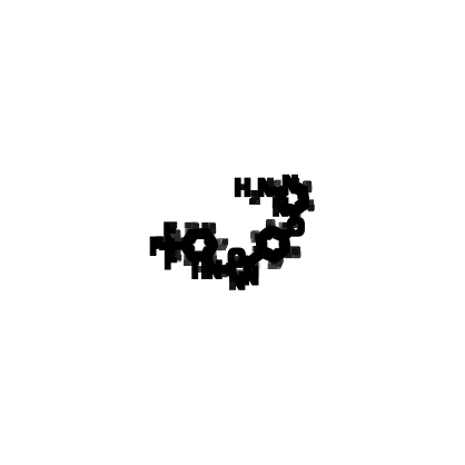 Nc1nccc(Oc2ccc(-c3nnc(Nc4cccc(C(F)(F)F)c4)o3)cc2)n1